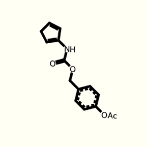 CC(=O)Oc1ccc(COC(=O)NC2=CCC=C2)cc1